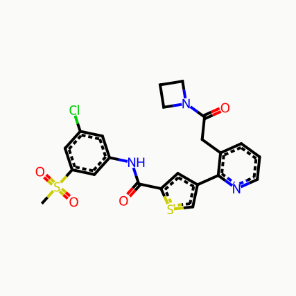 CS(=O)(=O)c1cc(Cl)cc(NC(=O)c2cc(-c3ncccc3CC(=O)N3CCC3)cs2)c1